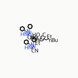 CCCCC(CC)CC(CC(=O)O)(CC(CC)CCCC)C(=O)O.N#CC1=NN(c2ccccc2)N(c2ccccc2)N1.N#CC1=NN(c2ccccc2)N(c2ccccc2)N1